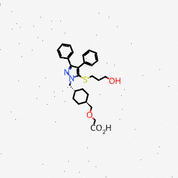 O=C(O)COC[C@H]1CC[C@H](Cn2nc(-c3ccccc3)c(-c3ccccc3)c2SCCCO)CC1